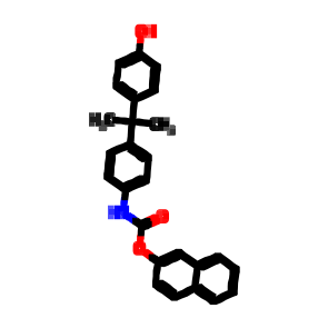 CC(C)(c1ccc(O)cc1)c1ccc(NC(=O)Oc2ccc3ccccc3c2)cc1